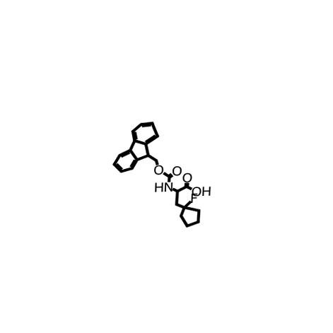 O=C(NC(CC1(F)CCCC1)C(=O)O)OCC1c2ccccc2-c2ccccc21